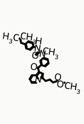 CCOC(=O)CCCc1cc(C(=O)c2cccc(N(C)C(=O)Nc3ccc(CC(C)C)cc3)c2)c2ccccn12